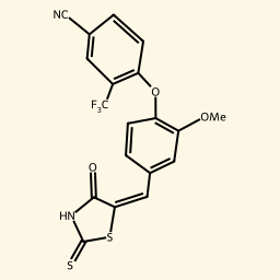 COc1cc(C=C2SC(=S)NC2=O)ccc1Oc1ccc(C#N)cc1C(F)(F)F